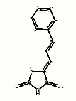 O=C1NC(=O)C(=CC=Cc2ccccc2)S1